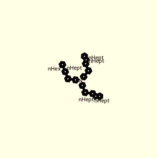 CCCCCCCc1cc(-c2cccc(-c3ccc(N(c4ccc(-c5cccc(-c6ccc7c(c6)C(CCCCCCC)(CCCCCCC)c6ccccc6-7)c5)cc4)c4ccc(-c5cccc(-c6ccc7c(c6)C(CCCCCCC)(CCCCCCC)c6ccccc6-7)c5)cc4)cc3)c2)ccc1-c1ccccc1CCCCCC